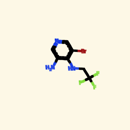 Nc1cncc(Br)c1NCC(F)(F)F